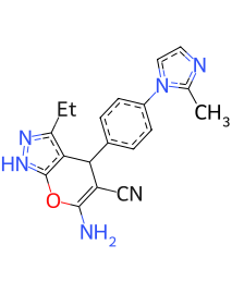 CCc1n[nH]c2c1C(c1ccc(-n3ccnc3C)cc1)C(C#N)=C(N)O2